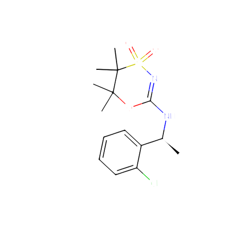 C[C@H](NC1=NS(=O)(=O)C(C)(C)C(C)(C)O1)c1ccccc1Cl